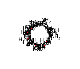 CCCC[C@H]1C(=O)N(C)[C@@H](CCCC)C(=O)N[C@@H](CC(C)C)C(=O)N[C@H](C(=O)NCC(N)=O)CSCC(=O)N[C@@H](Cc2ccc(O)cc2)C(=O)N(C)[C@@H](C)C(=O)N[C@@H](CC(N)=O)C(=O)N2CCC[C@H]2C(=O)N[C@@H](Cc2cnc[nH]2)C(=O)N[C@@H](CCC(=O)O)C(=O)N(CC(=O)O)CC(=O)N[C@@H](Cc2c[nH]c3ccccc23)C(=O)N[C@@H](CCN)C(=O)N[C@@H](Cc2c[nH]c3ccccc23)C(=O)N1C